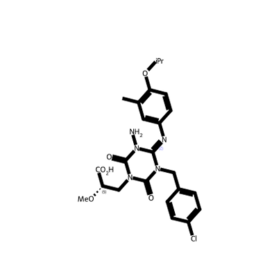 CO[C@@H](Cn1c(=O)n(N)/c(=N\c2ccc(OC(C)C)c(C)c2)n(Cc2ccc(Cl)cc2)c1=O)C(=O)O